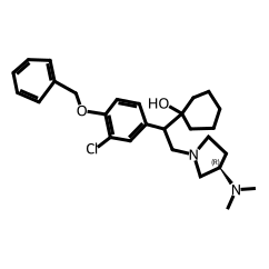 CN(C)[C@@H]1CCN(CC(c2ccc(OCc3ccccc3)c(Cl)c2)C2(O)CCCCC2)C1